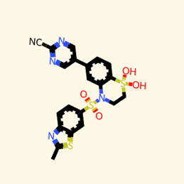 Cc1nc2ccc(S(=O)(=O)N3CCS(O)(O)c4ccc(-c5cnc(C#N)nc5)cc43)cc2s1